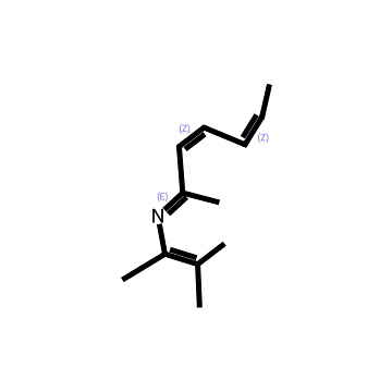 C\C=C/C=C\C(C)=N\C(C)=C(C)C